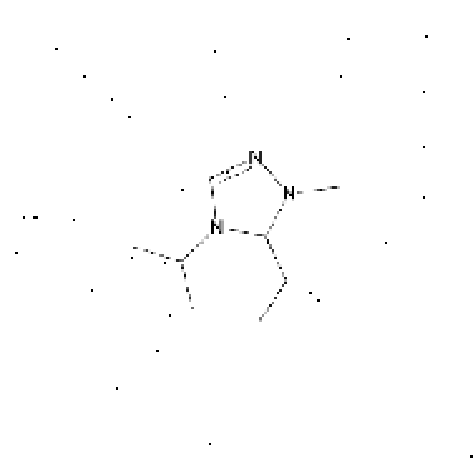 CCC1N(C)N=CN1C(C)C